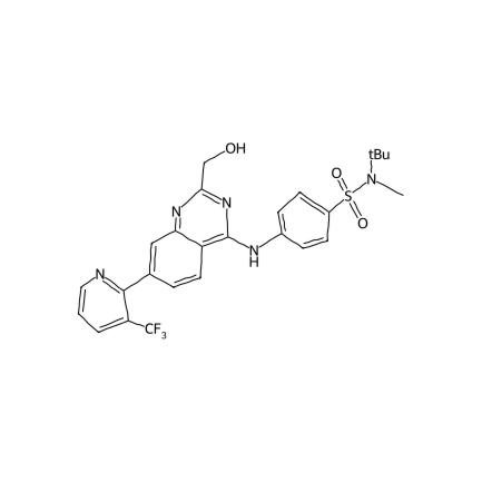 CN(C(C)(C)C)S(=O)(=O)c1ccc(Nc2nc(CO)nc3cc(-c4ncccc4C(F)(F)F)ccc23)cc1